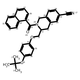 CC(C)(C)Oc1ccc(OCC2Cc3cc(C#N)ccc3CN2C(=O)c2cccc3ccccc23)cc1